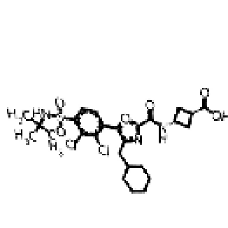 CC(C)(C)NS(=O)(=O)c1ccc(-c2oc(C(=O)N[C@H]3C[C@H](C(=O)O)C3)nc2CC2CCCCC2)c(Cl)c1Cl